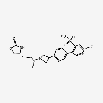 CS(=O)(=O)c1cc(Cl)ncc1-c1ccc(C2CN(C(=O)CC[C@@H]3COC(=O)N3)C2)cc1